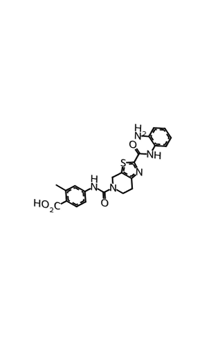 Cc1cc(NC(=O)N2CCc3nc(C(=O)Nc4ccccc4N)sc3C2)ccc1C(=O)O